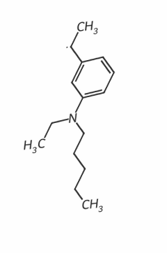 C[CH]c1cccc(N(CC)CCCCC)c1